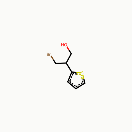 OCC(CBr)c1cccs1